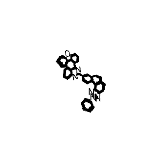 c1ccc(-n2nc3ccc4ccc5cc(-c6nc(-c7cccc8oc9ccccc9c78)c7ccccc7n6)ccc5c4c3n2)cc1